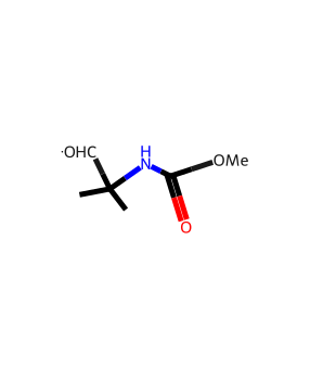 COC(=O)NC(C)(C)[C]=O